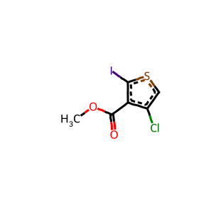 COC(=O)c1c(Cl)csc1I